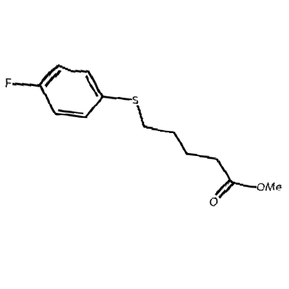 COC(=O)CCCCSc1ccc(F)cc1